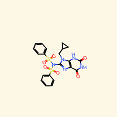 O=c1[nH]c(=O)c2nc(N(S(=O)(=O)c3ccccc3)S(=O)(=O)c3ccccc3)n(CC3CC3)c2[nH]1